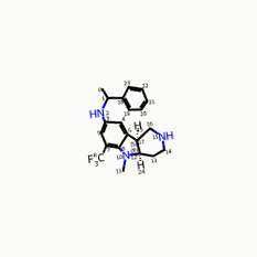 CC(Nc1cc2c(c(C(F)(F)F)c1)N(C)[C@@H]1CCNC[C@H]21)c1ccccc1